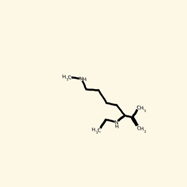 C=C(C)C(CCCCNC)NCC